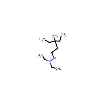 CCN(CC)NCCC(N)(CC)CC